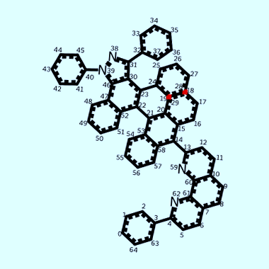 c1ccc(-c2ccc3ccc4ccc(-c5c6ccccc6c(-c6c(-c7ccccc7)c7c(-c8ccccc8)nn(-c8ccccc8)c7c7ccccc67)c6ccccc56)nc4c3n2)cc1